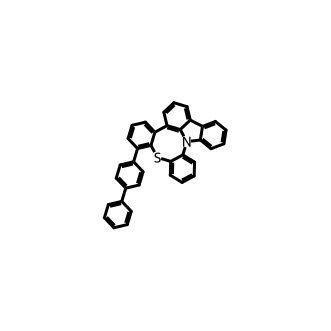 c1ccc(-c2ccc(-c3cccc4c3sc3ccccc3n3c5ccccc5c5cccc4c53)cc2)cc1